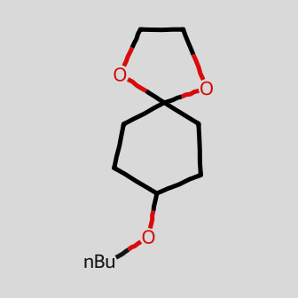 CCCCOC1CCC2(CC1)OCCO2